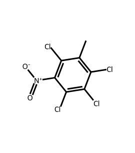 Cc1c(Cl)c(Cl)c(Cl)c([N+](=O)[O-])c1Cl